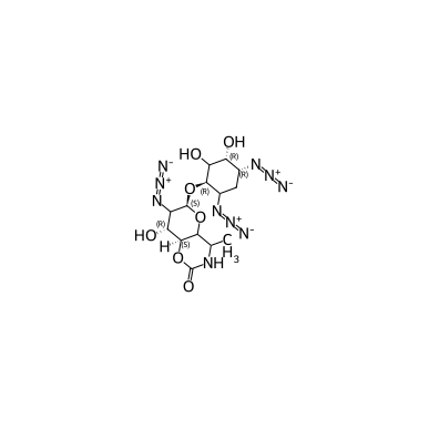 CC1NC(=O)O[C@@H]2C1O[C@H](O[C@@H]1C(N=[N+]=[N-])C[C@@H](N=[N+]=[N-])[C@@H](O)C1O)C(N=[N+]=[N-])[C@H]2O